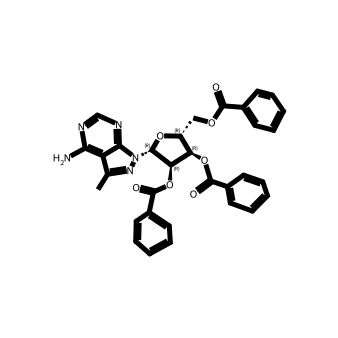 Cc1nn([C@@H]2O[C@H](COC(=O)c3ccccc3)[C@@H](OC(=O)c3ccccc3)[C@H]2OC(=O)c2ccccc2)c2ncnc(N)c12